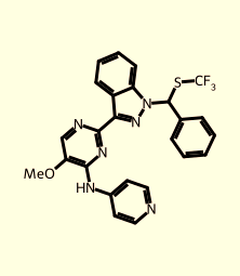 COc1cnc(-c2nn(C(SC(F)(F)F)c3ccccc3)c3ccccc23)nc1Nc1ccncc1